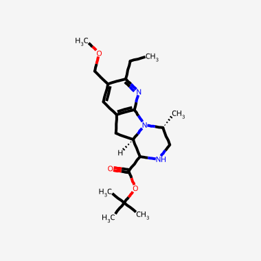 CCc1nc2c(cc1COC)C[C@@H]1C(C(=O)OC(C)(C)C)NC[C@@H](C)N21